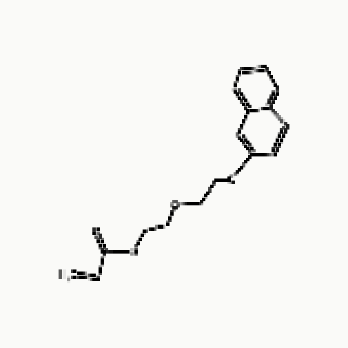 C=CC(=O)OCCOCCOc1ccc2ccccc2c1